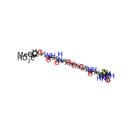 COc1ccc(OCCCNC(=O)CCCC(=O)NCCCOCCOCCOCCCNC(=O)CCCC[C@@H]2SC[C@@H]3NC(=O)N[C@@H]32)cc1C(=O)O